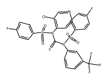 O=S(=O)(c1ccc(F)cc1)N(C(=S)N(c1ccncc1Cl)S(=O)(=O)c1ccc(F)cc1)c1cccc(C(F)(F)F)c1